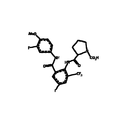 COc1ccc(NC(=O)c2cc(I)cc(C(F)(F)F)c2NC(=O)C2CCCN2C(=O)O)cc1F